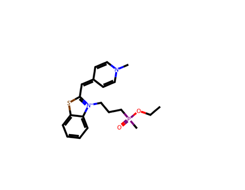 CCOP(C)(=O)CCC[n+]1c(C=C2C=CN(C)C=C2)sc2ccccc21